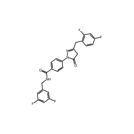 O=C(NCc1cc(F)cc(F)c1)c1ccc(N2N=C(Cc3ccc(F)cc3F)CC2=O)cc1